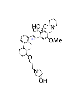 COc1cc(/C=C/c2cccc(-c3cccc(OCCCN4CC[C@@H](O)C4)c3C)c2C)c(Cl)cc1CN1CCCCC1C(=O)O